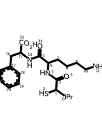 CC(C)C(S)C(=O)NC(CCCCN)C(=O)NC(Cc1ccccc1)C(=O)O